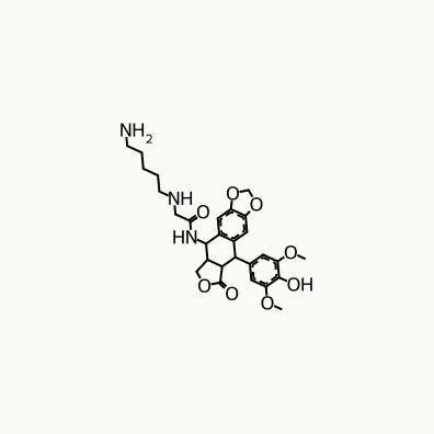 COc1cc(C2c3cc4c(cc3C(NC(=O)CNCCCCCN)C3COC(=O)C23)OCO4)cc(OC)c1O